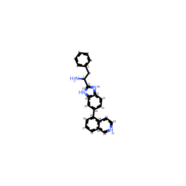 NC(Cc1ccccc1)c1nc2ccc(-c3cccc4cnccc34)cc2[nH]1